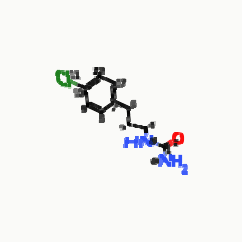 NC(=O)NCCCc1ccc(Cl)cc1